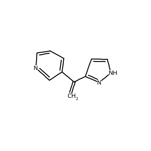 C=C(c1cccnc1)c1cc[nH]n1